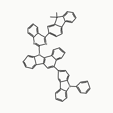 CC1(C)c2ccccc2-c2ccc(-c3nc(-n4c5ccccc5c5cc(-c6ccc7c(c6)c6ccccc6n7-c6ccccc6)c6ccccc6c54)nc4ccccc34)cc21